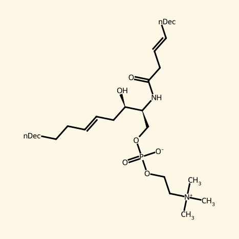 CCCCCCCCCCC=CCC(=O)N[C@@H](COP(=O)([O-])OCC[N+](C)(C)C)[C@H](O)CC=CCCCCCCCCCCCC